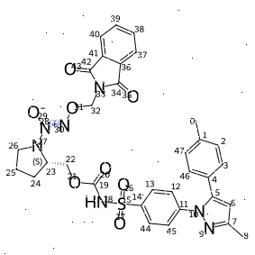 Cc1ccc(-c2cc(C)nn2-c2ccc(S(=O)(=O)NC(=O)OC[C@@H]3CCCN3/[N+]([O-])=N/OCN3C(=O)c4ccccc4C3=O)cc2)cc1